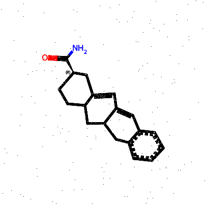 NC(=O)[C@@H]1CCC2CC3Cc4ccccc4C=C3C=C2C1